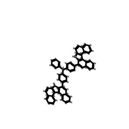 c1ccc(N(c2ccc(-c3cc4ccccc4c4c3oc3ccc5ccccc5c34)cc2)c2ccc(-c3cc4ccccc4c4c3sc3ccc5ccccc5c34)cc2)cc1